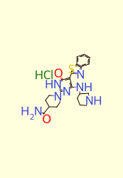 Cl.NC(=O)C1CCN(c2nc(N[C@@H]3CCCNC3)c(-c3nc4ccccc4s3)c(=O)[nH]2)CC1